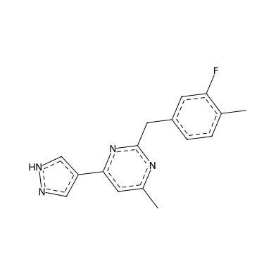 Cc1cc(-c2cn[nH]c2)nc(Cc2ccc(C)c(F)c2)n1